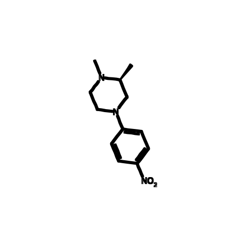 C[C@H]1CN(c2ccc([N+](=O)[O-])cc2)CCN1C